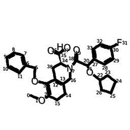 COC1=C(OCc2ccccc2)C2=C(CC1)CN(C(=O)C(OC1CCCC1)c1ccc(F)cc1)[C@H](C(=O)O)C2